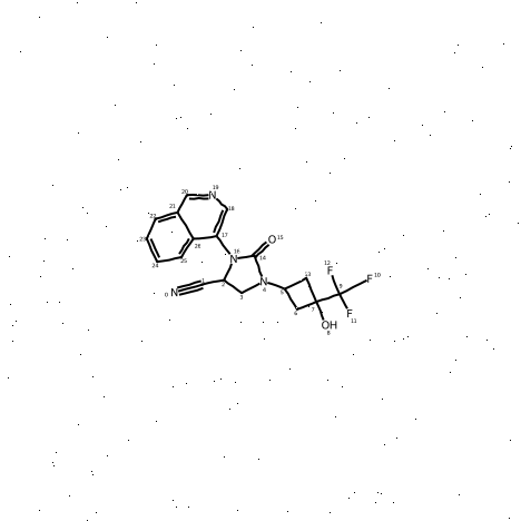 N#CC1CN(C2CC(O)(C(F)(F)F)C2)C(=O)N1c1cncc2ccccc12